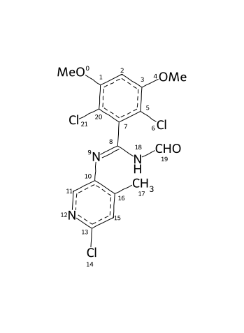 COc1cc(OC)c(Cl)c(/C(=N/c2cnc(Cl)cc2C)NC=O)c1Cl